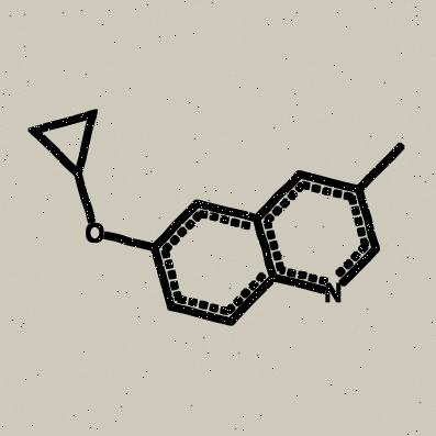 Cc1cnc2ccc(OC3CC3)cc2c1